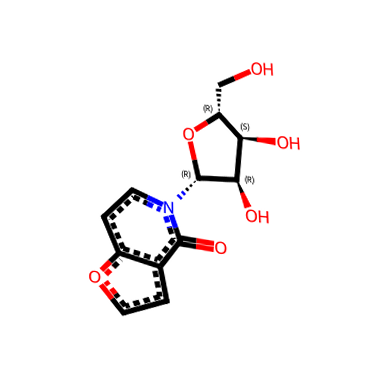 O=c1c2ccoc2ccn1[C@@H]1O[C@H](CO)[C@@H](O)[C@H]1O